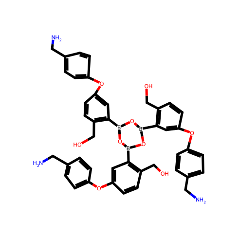 NCc1ccc(Oc2ccc(CO)c(B3OB(c4cc(Oc5ccc(CN)cc5)ccc4CO)OB(c4cc(Oc5ccc(CN)cc5)ccc4CO)O3)c2)cc1